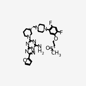 C[S+]([O-])CCOc1cc(N2CCN(C[C@H]3CCCN(c4nc(N)n5nc(-c6ccco6)nc5n4)C3)CC2)c(F)cc1F